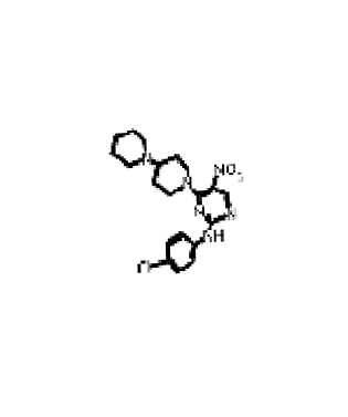 O=[N+]([O-])c1cnc(Nc2ccc(Cl)cc2)nc1N1CCC(N2CCCCC2)CC1